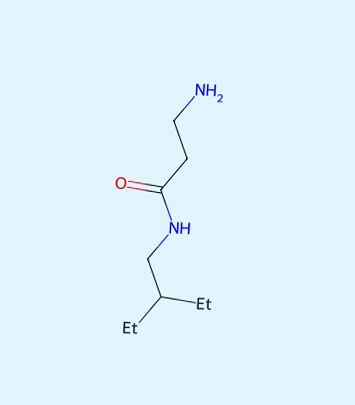 CCC(CC)CNC(=O)CCN